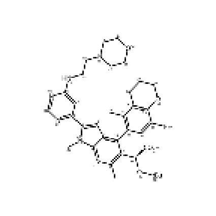 Cc1nc2c(cc(-c3cc(NCCN4CCOCC4)ncn3)n2C)c(-c2cc(F)c3c(c2C)CCCO3)c1[C@H](OC(C)(C)C)C(=O)O